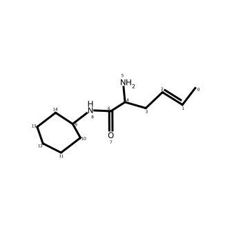 C/C=C/CC(N)C(=O)NC1CCCCC1